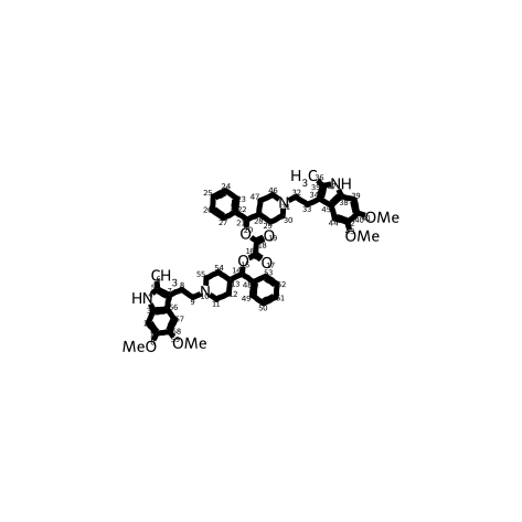 COc1cc2[nH]c(C)c(CCN3CCC(C(OC(=O)C(=O)OC(c4ccccc4)C4CCN(CCc5c(C)[nH]c6cc(OC)c(OC)cc56)CC4)c4ccccc4)CC3)c2cc1OC